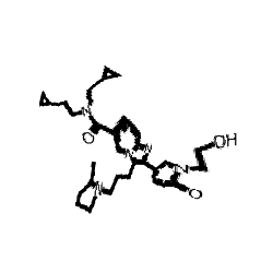 CC1CCCN1CCCc1c(-c2ccc(=O)n(CCO)c2)nc2ccc(C(=O)N(CCC3CC3)CCC3CC3)cn12